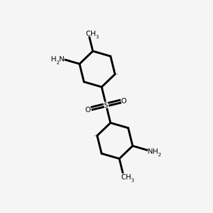 CC1C[CH]C(S(=O)(=O)C2[CH]CC(C)C(N)C2)CC1N